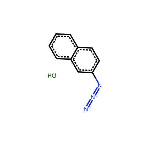 Cl.[N-]=[N+]=Nc1ccc2ccccc2c1